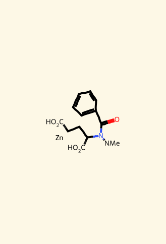 CNN(C(=O)c1ccccc1)C(CCC(=O)O)C(=O)O.[Zn]